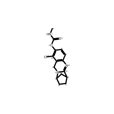 CNC(=O)Oc1ccc2c(c1Cl)CN1C(=N2)C2CCC1C2